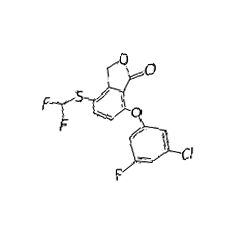 O=C1OCc2c(SC(F)F)ccc(Oc3cc(F)cc(Cl)c3)c21